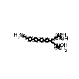 C=C(CO)C(=O)OCCCC(CCCOC(=O)C(=C)CO)c1ccc(C2CCC(C3CCC(C4CCC(CCCCC)CC4)CC3)CC2)cc1